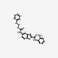 Nc1ccccc1NC(=O)c1cc2cc(NC(=O)CCCc3cccnc3)ccc2s1